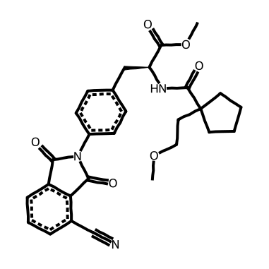 COCCC1(C(=O)N[C@@H](Cc2ccc(N3C(=O)c4cccc(C#N)c4C3=O)cc2)C(=O)OC)CCCC1